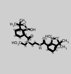 CC1(C)OB(O)c2c(C(=O)NCCN(CC(=O)O)C(=O)c3cccc4c3B(O)OC4(C)C)cccc21